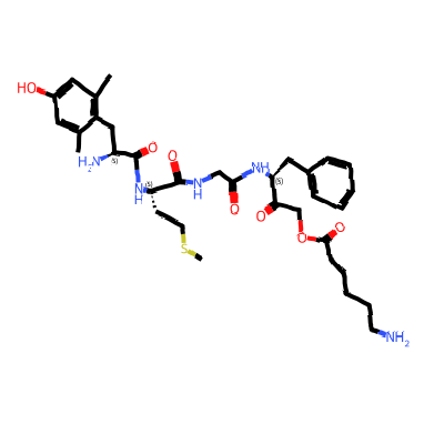 CSCC[C@H](NC(=O)[C@@H](N)Cc1c(C)cc(O)cc1C)C(=O)NCC(=O)N[C@@H](Cc1ccccc1)C(=O)COC(=O)CCCCCN